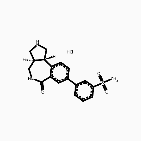 CS(=O)(=O)c1cccc(-c2ccc3c(c2)C(=O)NC[C@H]2CNC[C@H]32)c1.Cl